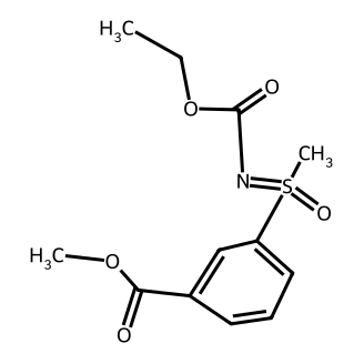 CCOC(=O)N=S(C)(=O)c1cccc(C(=O)OC)c1